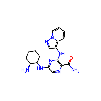 NC(=O)c1ncc(N[C@@H]2CCCC[C@@H]2N)nc1Nc1cnn2ccccc12